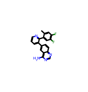 Cc1cc(F)c(F)cc1-c1ncccc1-c1ccc2ncnc(N)c2c1